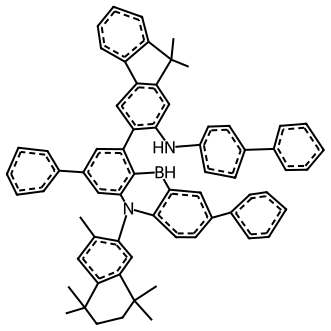 Cc1cc2c(cc1N1c3ccc(-c4ccccc4)cc3Bc3c(-c4cc5c(cc4Nc4ccc(-c6ccccc6)cc4)C(C)(C)c4ccccc4-5)cc(-c4ccccc4)cc31)C(C)(C)CCC2(C)C